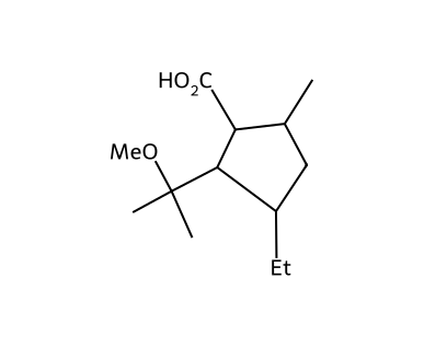 CCC1CC(C)C(C(=O)O)C1C(C)(C)OC